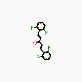 O=C(C=Cc1c(F)cccc1F)C=Cc1c(F)cccc1F